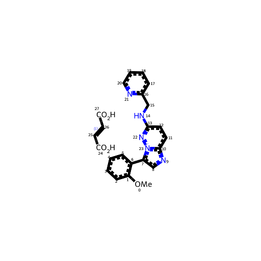 COc1ccccc1-c1cnc2ccc(NCc3ccccn3)nn12.O=C(O)/C=C/C(=O)O